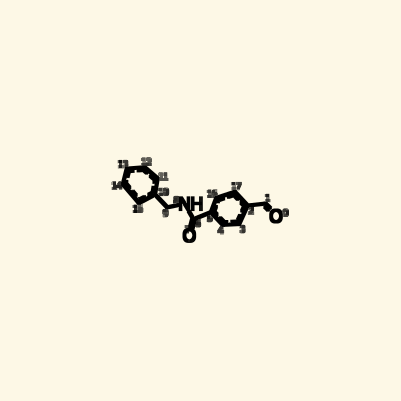 O=Cc1ccc(C(=O)NCc2ccccc2)cc1